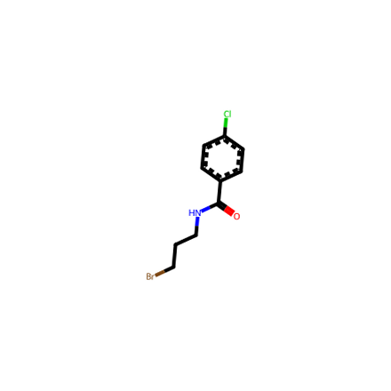 O=C(NCCCBr)c1ccc(Cl)cc1